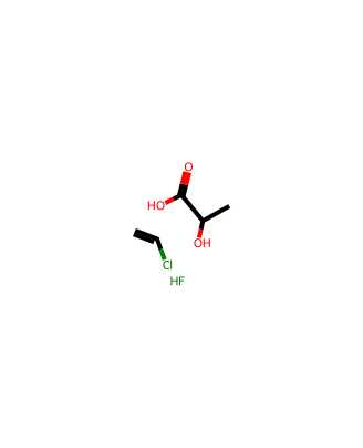 C=CCl.CC(O)C(=O)O.F